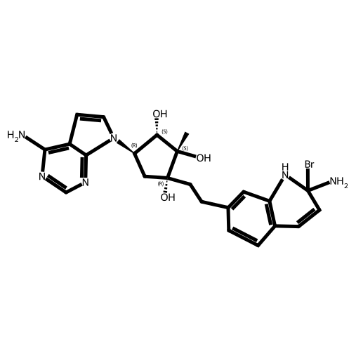 C[C@]1(O)[C@@H](O)[C@H](n2ccc3c(N)ncnc32)C[C@]1(O)CCc1ccc2c(c1)NC(N)(Br)C=C2